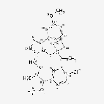 CCC1(Cn2c(NSC(C)C(OC)c3ncc(Cl)cn3)nnc2-c2cccc(OC)n2)CCC1